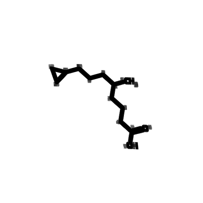 CC(CCCC(=O)O)CCCC1CC1